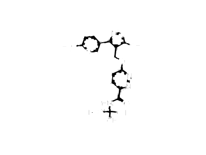 Cc1ccc(-c2noc(C)c2COc2ccc(C(=O)NC(C)(C)C)nn2)cn1